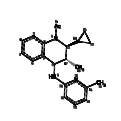 CC(=O)N1c2ccccc2C(Nc2cccc(C)n2)[C@@H](C)[C@@H]1C1CC1